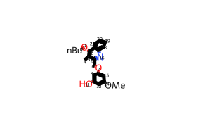 CCCCOc1c(C)c(COc2cc(O)cc(OC)c2)nc2ccccc12